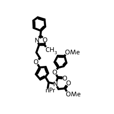 CCCC(c1ccc(OCCc2nc(-c3ccccc3)oc2C)cc1)N(CC(=O)OC)C(=O)Oc1ccc(OC)cc1